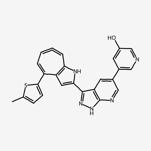 Cc1ccc(C2=CC=C=Cc3[nH]c(-c4n[nH]c5ncc(-c6cncc(O)c6)cc45)cc32)s1